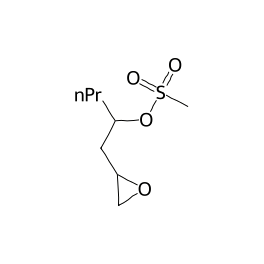 CCCC(CC1CO1)OS(C)(=O)=O